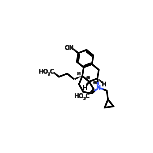 O=Nc1ccc2c(c1)[C@]1(CCCC(=O)O)CCCN(CC3CC3)[C@H](C2)[C@@H]1CC(=O)O